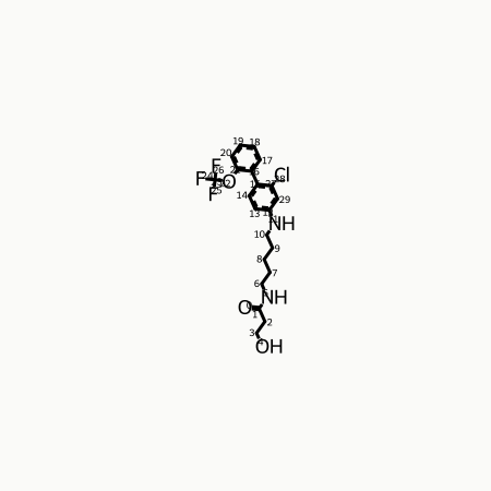 O=C(CCO)NCCCCCNc1ccc(-c2ccccc2OC(F)(F)F)c(Cl)c1